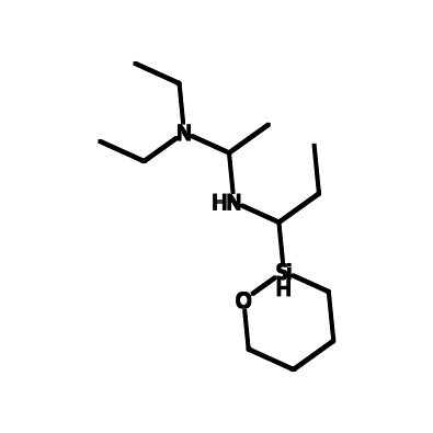 CCC(NC(C)N(CC)CC)[SiH]1CCCCO1